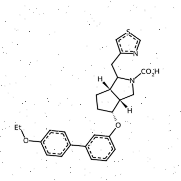 CCOc1ccc(-c2cccc(O[C@@H]3CC[C@@H]4C(Cc5cscn5)N(C(=O)O)C[C@@H]43)c2)cc1